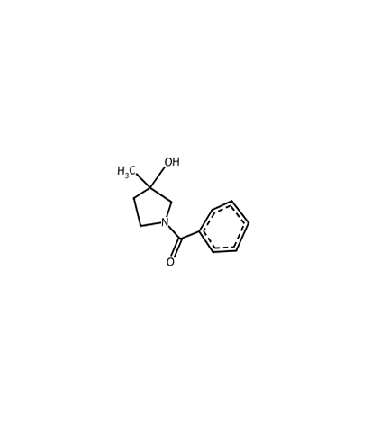 CC1(O)CCN(C(=O)c2ccccc2)C1